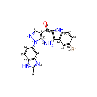 Cc1nc2cc(-n3ncc(C(=O)c4cc5cc(Br)ccc5[nH]4)c3N)ccc2[nH]1